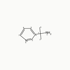 CC(C)(N)c1[c]nccc1